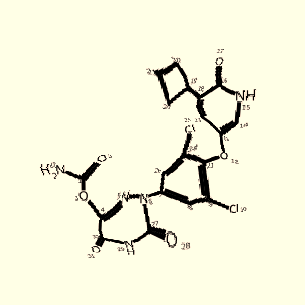 NC(=O)Oc1nn(-c2cc(Cl)c(Oc3c[nH]c(=O)c(C4CCC4)c3)c(Cl)c2)c(=O)[nH]c1=O